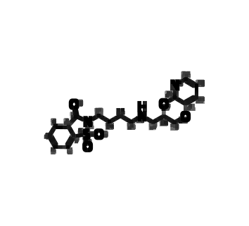 O=C1c2ccccc2S(=O)(=O)N1CCCCNCC1COc2cccnc2O1